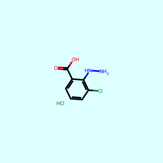 Cl.NNc1c(Cl)cccc1C(=O)O